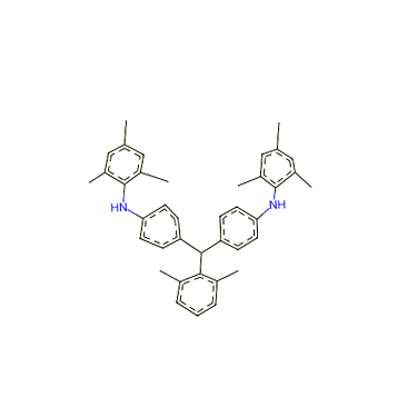 Cc1cc(C)c(Nc2ccc(C(c3ccc(Nc4c(C)cc(C)cc4C)cc3)c3c(C)cccc3C)cc2)c(C)c1